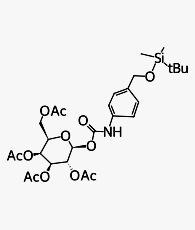 CC(=O)OC[C@H]1O[C@@H](OC(=O)Nc2ccc(CO[Si](C)(C)C(C)(C)C)cc2)[C@H](OC(C)=O)[C@@H](OC(C)=O)[C@H]1OC(C)=O